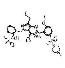 CCCc1nn(Cc2ccccc2NS(C)(=O)=O)c2c(=O)[nH]c(-c3cc(S(=O)(=O)N4CCN(C)CC4)ccc3OCC)nc12